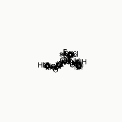 O=C(Nc1cn(CC(=O)N2CCC(C(=O)OCC3CCNCC3)CC2)nc1-c1cc(Cl)ccc1OC(F)F)C1=C2N=CC=CN2NC1